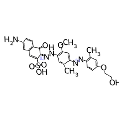 COc1cc(/N=N/c2ccc(OCCO)cc2C)c(C)cc1N/N=C1\C(=O)c2ccc(N)cc2C=C1S(=O)(=O)O